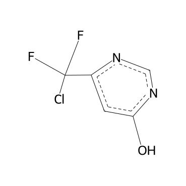 Oc1cc(C(F)(F)Cl)ncn1